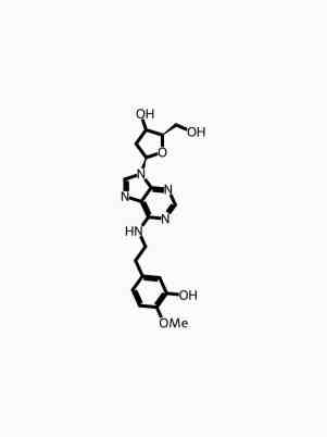 COc1ccc(CCNc2ncnc3c2ncn3[C@H]2CC(O)[C@@H](CO)O2)cc1O